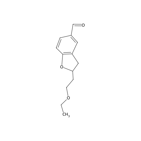 CCOCCC1Cc2cc(C=O)ccc2O1